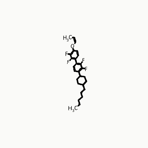 C/C=C\Oc1ccc(-c2ccc(C3CCC(CCCCCC)CC3)c(F)c2F)c(F)c1F